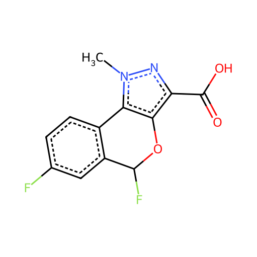 Cn1nc(C(=O)O)c2c1-c1ccc(F)cc1C(F)O2